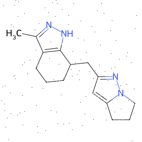 Cc1n[nH]c2c1CCCC2Cc1cc2n(n1)CCC2